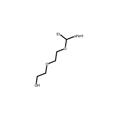 CCCCCC(CC)OCCOCCO